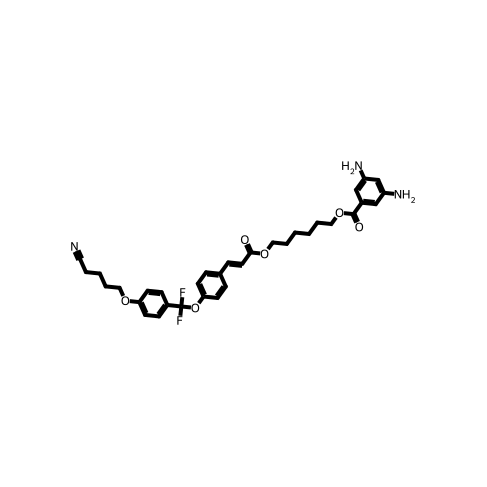 N#CCCCCOc1ccc(C(F)(F)Oc2ccc(C=CC(=O)OCCCCCCOC(=O)c3cc(N)cc(N)c3)cc2)cc1